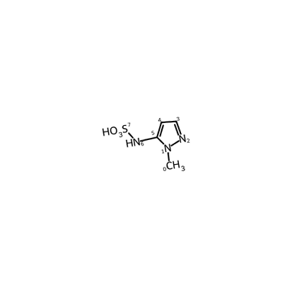 Cn1nccc1NS(=O)(=O)O